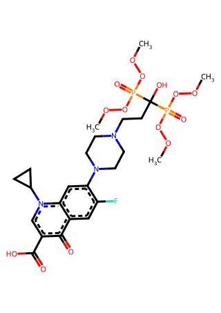 COOP(=O)(OOC)C(O)(CCN1CCN(c2cc3c(cc2F)c(=O)c(C(=O)O)cn3C2CC2)CC1)P(=O)(OOC)OOC